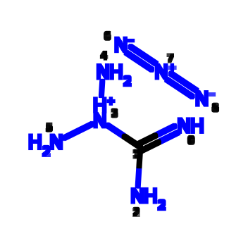 N=C(N)[NH+](N)N.[N-]=[N+]=[N-]